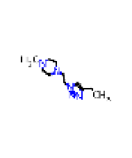 CCc1cn(CCN2CCN(C)CC2)nn1